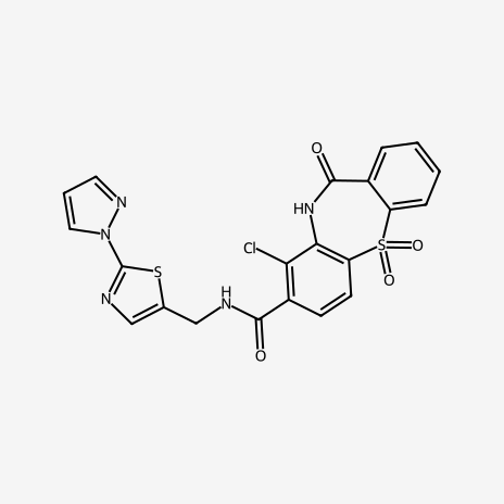 O=C1Nc2c(ccc(C(=O)NCc3cnc(-n4cccn4)s3)c2Cl)S(=O)(=O)c2ccccc21